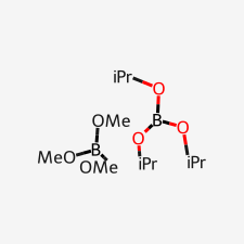 CC(C)OB(OC(C)C)OC(C)C.COB(OC)OC